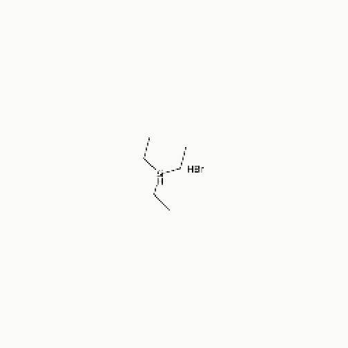 Br.CC[SiH](CC)CC